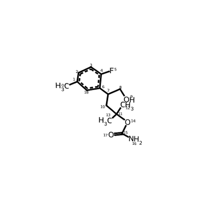 Cc1ccc(F)c(C(CO)CC(C)(C)OC(N)=O)c1